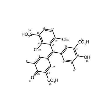 CC1=CC(=C(c2cc(C)c(O)c(C(=O)O)c2)c2c(Cl)ccc(S(=O)(=O)O)c2Cl)C=C(C(=O)O)C1=O